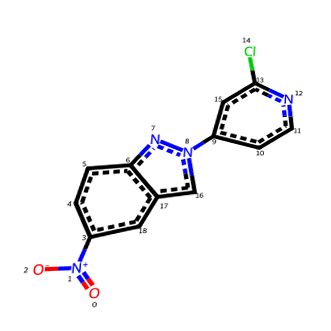 O=[N+]([O-])c1ccc2nn(-c3ccnc(Cl)c3)cc2c1